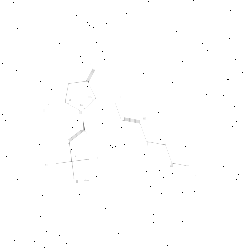 C=C1C[C@@H](O)[C@H](C=CC(F)(F)CCCCC)[C@H]1CC=CCCCC(=O)O